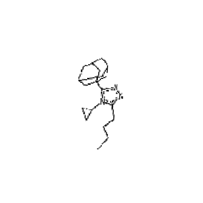 CCCCc1nnc(C23CC4CC(CC(C4)C2)C3)n1C1CC1